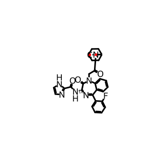 O=C(N[C@H]1N=C(c2ccccc2F)c2ccccc2N(CC(=O)N2CC3CCC(CC3)C2)C1=O)c1ncc[nH]1